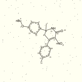 CCCCOc1ccc(C2(C)CC(c3ccc(C)cc3)=C([N+](=O)[O-])C(=O)N2)cc1